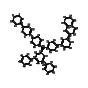 c1ccc(-c2ccc(-c3ccc(N(c4ccc(-c5cccc(-c6ccc7ccccc7c6)c5)cc4)c4cc(-c5ccccc5)cc(-c5ccccc5)c4)cc3)cc2)cc1